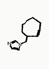 C1=CC(Cn2ccnc2)CCCCC1